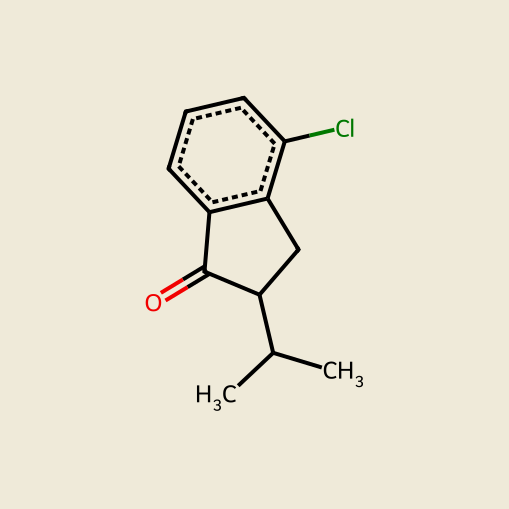 CC(C)C1Cc2c(Cl)cccc2C1=O